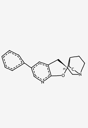 c1ccc(-c2cnc3c(c2)C[C@@]2(CN4CCC2CC4)O3)cc1